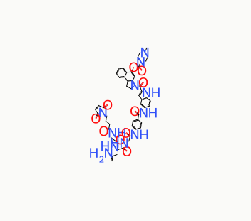 C=C(N)C[C@H](NC(=O)CNC(=O)CCCN1C(=O)C=CC1=O)C(=O)NCC(=O)Nc1ccc(C(=O)Nc2ccc3[nH]c(C(=O)N4CCc5c4cc(OC(=O)N4CCN(C)CC4)c4ccccc54)cc3c2)cc1